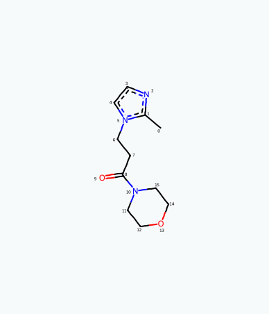 Cc1n[c]cn1CCC(=O)N1CCOCC1